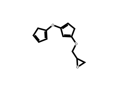 [C]1=CC=C(OC2=CCC(OCC3CO3)=C2)C1